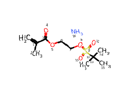 C=C(C)C(=O)OCCOS(=O)(=O)C(C)(C)C.N